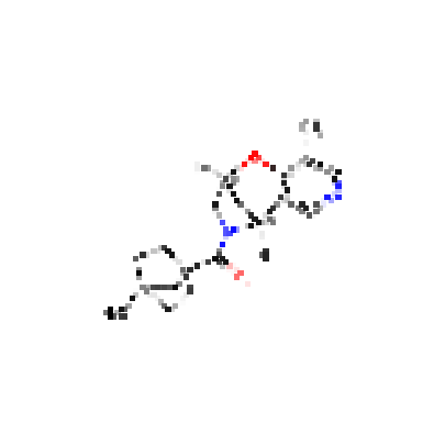 Cc1cncc2c1O[C@H]1C[C@@H]2N(C(=O)C23CCC(C)(CC2)C3)C1